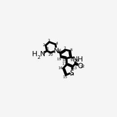 NC1CCCN(c2ccc3[nH]c(=O)c4sccc4c3c2)C1